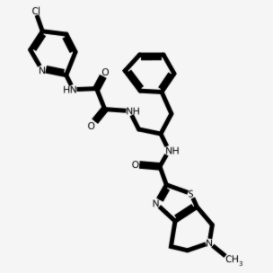 CN1CCc2nc(C(=O)NC(CNC(=O)C(=O)Nc3ccc(Cl)cn3)Cc3ccccc3)sc2C1